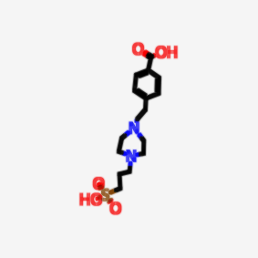 O=C(O)c1ccc(CCN2CCN(CCCS(=O)(=O)O)CC2)cc1